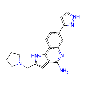 Nc1nc2cc(-c3cc[nH]n3)ccc2c2[nH]c(CN3CCCC3)cc12